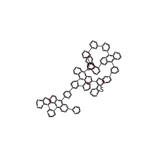 c1ccc(-c2cccc(-c3c4ccccc4c(-c4cccc(-c5cccc(-c6cccc(-c7cccc(-c8c9ccccc9c(-c9ccc(-c%10ccc(-c%11c%12ccccc%12c(-c%12ccccc%12-c%12cccc%13ccccc%12%13)c%12ccc(-c%13ccccc%13)cc%11%12)cc%10)cc9-c9ccccc9)c9ccc(-c%10cccc%11sc%12ccccc%12c%10%11)cc89)c7)c6)c5)c4)c4ccc(-c5cccc6sc7ccccc7c56)cc34)c2)cc1